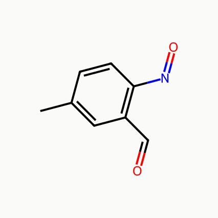 Cc1ccc(N=O)c(C=O)c1